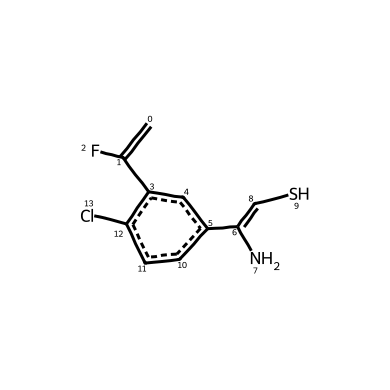 C=C(F)c1cc(/C(N)=C/S)ccc1Cl